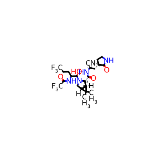 CC1(C)[C@@H]2[C@@H](C(=O)N[C@H](C#N)C[C@@H]3CCNC3=O)N(C(O)C(CCC(F)(F)F)NC(=O)C(F)(F)F)C[C@@H]21